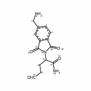 NCc1ccc2c(c1)C(=O)N(C(CCC=O)C(N)=O)C2=O